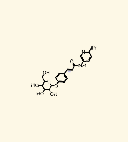 CC(C)c1ccc(NC(=O)/C=C/c2ccc(OC3OC(CO)C(O)C(O)C3O)cc2)cn1